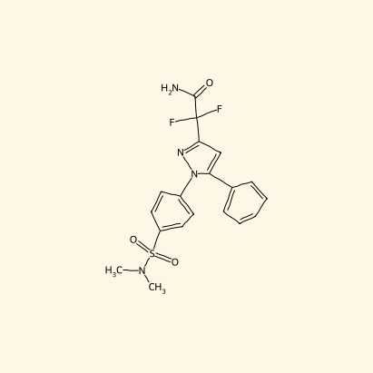 CN(C)S(=O)(=O)c1ccc(-n2nc(C(F)(F)C(N)=O)cc2-c2ccccc2)cc1